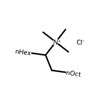 CCCCCCCCCC(CCCCCC)[N+](C)(C)C.[Cl-]